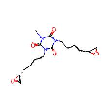 Cn1c(=O)n(CCCCC2CO2)c(=O)n(CCCC[C@@H]2CO2)c1=O